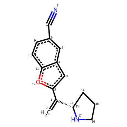 C=C(c1cc2cc(C#N)ccc2o1)[C@@H]1CCCN1